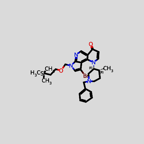 C[C@@H]1CCN(Cc2ccccc2)C[C@@H]1n1ccc(=O)c2cnc3c(c(Br)cn3COCC[Si](C)(C)C)c21